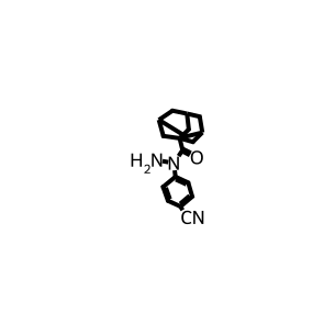 N#Cc1ccc(N(N)C(=O)C23CC4CC(CC(C4)C2)C3)cc1